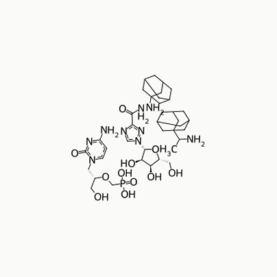 CC(N)C12CC3CC(CC(C3)C1)C2.NC(=O)c1ncn([C@@H]2O[C@H](CO)[C@@H](O)[C@H]2O)n1.NC12CC3CC(CC(C3)C1)C2.Nc1ccn(C[C@@H](CO)OCP(=O)(O)O)c(=O)n1